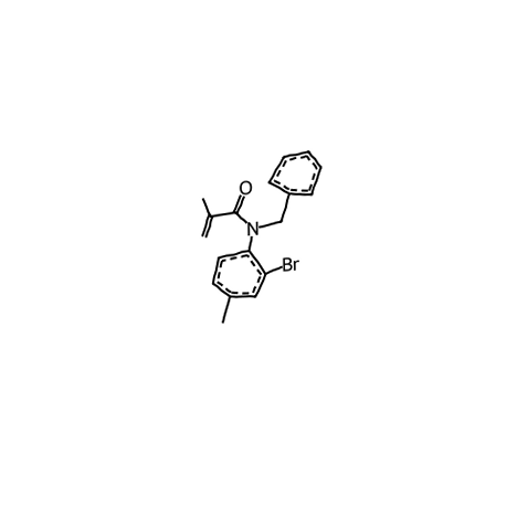 C=C(C)C(=O)N(Cc1ccccc1)c1ccc(C)cc1Br